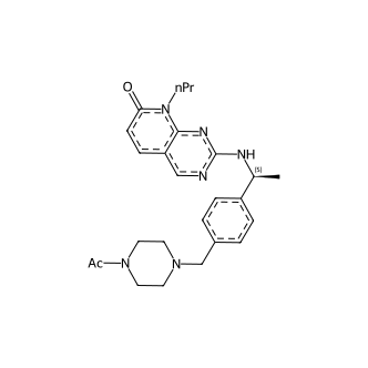 CCCn1c(=O)ccc2cnc(N[C@@H](C)c3ccc(CN4CCN(C(C)=O)CC4)cc3)nc21